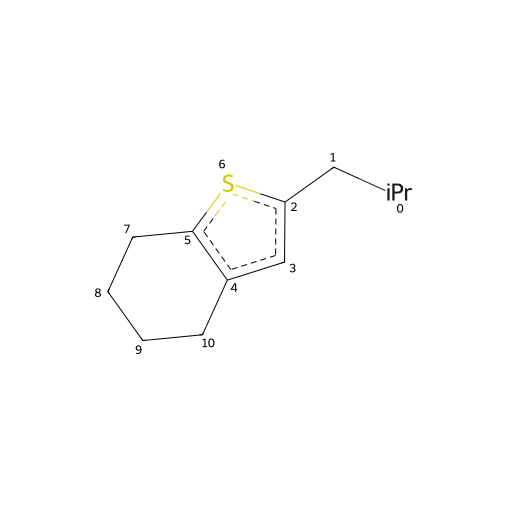 CC(C)Cc1cc2c(s1)CCCC2